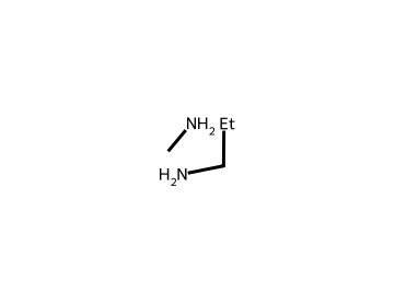 CCCN.CN